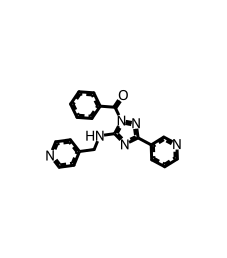 O=C(c1ccccc1)n1nc(-c2cccnc2)nc1NCc1ccncc1